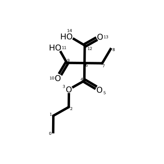 CCCOC(=O)C(CC)(C(=O)O)C(=O)O